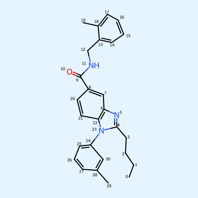 CCCCc1nc2cc(C(=O)NCc3ccccc3C)ccc2n1-c1cccc(C)c1